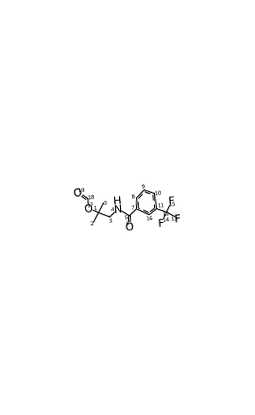 CC(C)(CNC(=O)c1cccc(C(F)(F)F)c1)OC=O